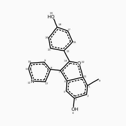 Cc1cc(O)cc2c(-c3cccnc3)c(-c3ccc(O)cc3)oc12